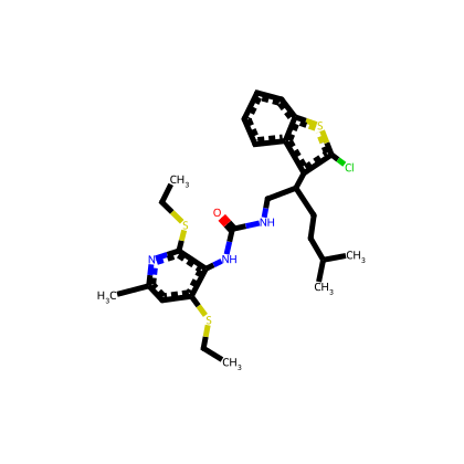 CCSc1cc(C)nc(SCC)c1NC(=O)NCC(CCC(C)C)c1c(Cl)sc2ccccc12